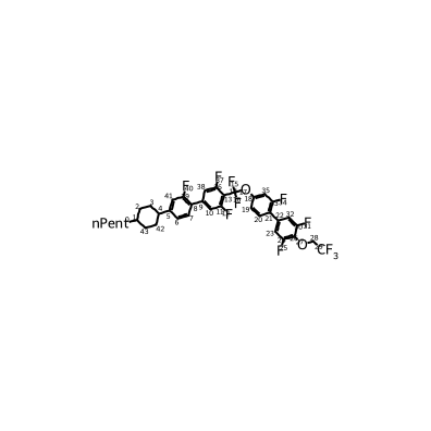 CCCCCC1CCC(c2ccc(-c3cc(F)c(C(F)(F)Oc4ccc(-c5cc(F)c(OCC(F)(F)F)c(F)c5)c(F)c4)c(F)c3)c(F)c2)CC1